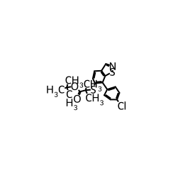 CC(C)(C)OC(=O)C(C)(C)Sc1ccc2cnsc2c1-c1ccc(Cl)cc1